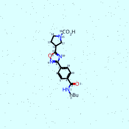 CCCCNC(=O)c1ccc(-c2noc(C3CCN(C(=O)O)C3)n2)cc1